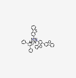 N/C(=N\C(=N/CC1=CC(c2ccccc2)CC(c2ccccc2)=C1)c1ccc2c(c1)sc1ccccc12)c1ccc(-c2ccc3c(c2)oc2ccccc23)c2oc3ccccc3c12